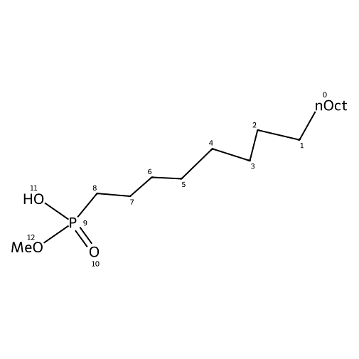 CCCCCCCCCCCCCCCCP(=O)(O)OC